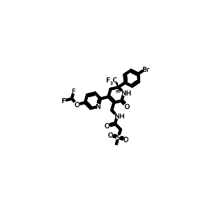 CS(=O)(=O)CC(=O)NCC1=C(c2ccc(OC(F)F)cn2)C[C@@](c2ccc(Br)cc2)(C(F)(F)F)NC1=O